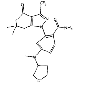 CN(c1ccc(C(N)=O)c(-n2nc(C(F)(F)F)c3c2CC(C)(C)CC3=O)c1)C1CCOC1